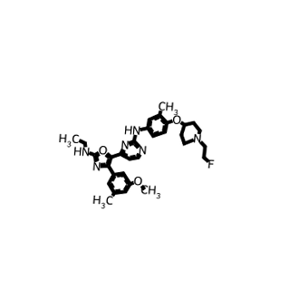 CCNc1nc(-c2cc(C)cc(OC)c2)c(-c2ccnc(Nc3ccc(OC4CCN(CCF)CC4)c(C)c3)n2)o1